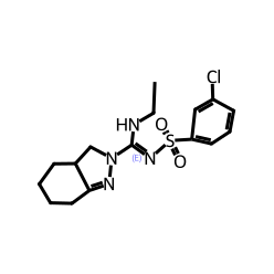 CCN/C(=N\S(=O)(=O)c1cccc(Cl)c1)N1CC2CCCCC2=N1